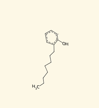 CCCCCCCCc1ccc[c]c1O